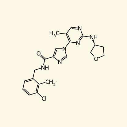 [CH2]c1c(Cl)cccc1CNC(=O)c1cn(-c2nc(N[C@H]3CCOC3)ncc2C)cn1